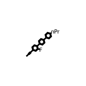 CC#Cc1ccc(-c2ccc(-c3ccc(CCC)cc3)cc2)c(F)c1